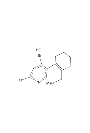 CNCC1=C(c2cnc(Cl)cc2Br)CCCC1.Cl